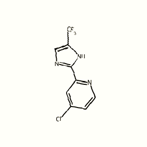 FC(F)(F)c1cnc(-c2cc(Cl)ccn2)[nH]1